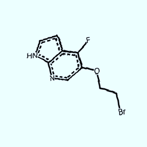 Fc1c(OCCBr)cnc2[nH]ccc12